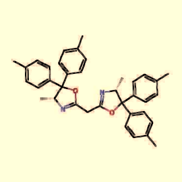 Cc1ccc(C2(c3ccc(C)cc3)OC(CC3=N[C@H](C)C(c4ccc(C)cc4)(c4ccc(C)cc4)O3)=N[C@@H]2C)cc1